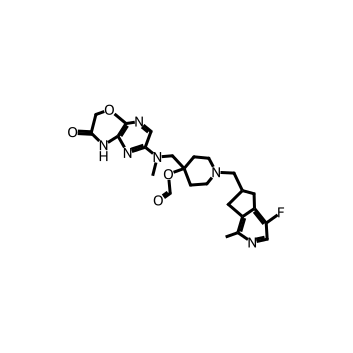 Cc1ncc(F)c2c1CC(CN1CCC(CN(C)c3cnc4c(n3)NC(=O)CO4)(OC=O)CC1)C2